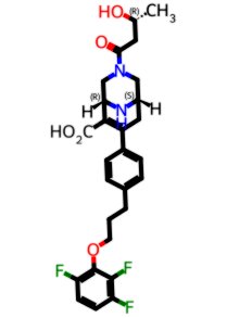 C[C@@H](O)CC(=O)N1C[C@@H]2CC(c3ccc(CCCOc4c(F)ccc(F)c4F)cc3)=C(C(=O)O)[C@H](C1)N2